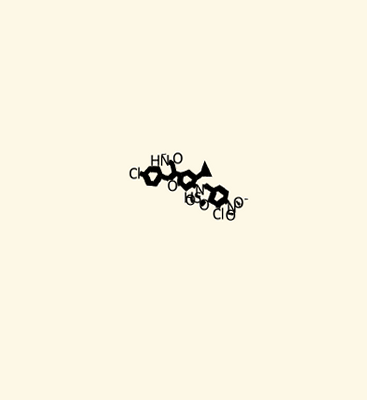 CNC(=O)c1c(-c2ccc(Cl)cc2)oc2cc(N(Cc3ccc([N+](=O)[O-])c(Cl)c3)[SH](=O)=O)c(C3CC3)cc12